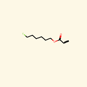 C=CC(=O)OCCCCCCF